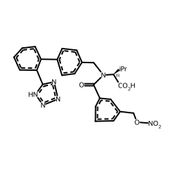 CC(C)[C@@H](C(=O)O)N(Cc1ccc(-c2ccccc2-c2nnn[nH]2)cc1)C(=O)c1cccc(CO[N+](=O)[O-])c1